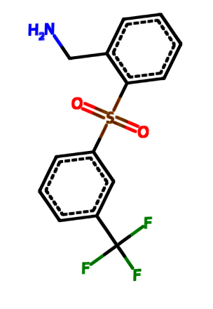 NCc1ccccc1S(=O)(=O)c1cccc(C(F)(F)F)c1